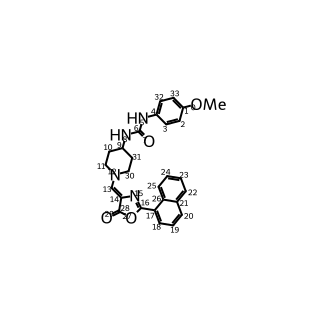 COc1ccc(NC(=O)NC2CCN(C=C3N=C(c4cccc5ccccc45)OC3=O)CC2)cc1